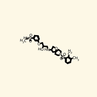 CNS(=O)(=O)c1cccc(OCC(O)CNC2COC3(CCN(S(=O)(=O)c4cccc(C)c4C)CC3)C2)c1